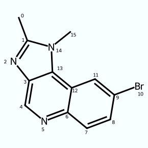 Cc1nc2cnc3ccc(Br)cc3c2n1C